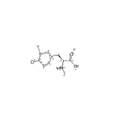 CN[C@@H](Cc1ccc(Cl)c(C)c1)C(=O)O